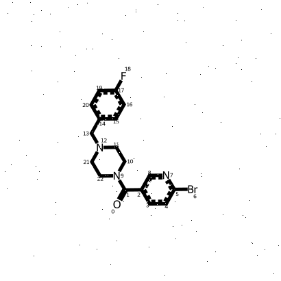 O=C(c1ccc(Br)nc1)N1CCN(Cc2ccc(F)cc2)CC1